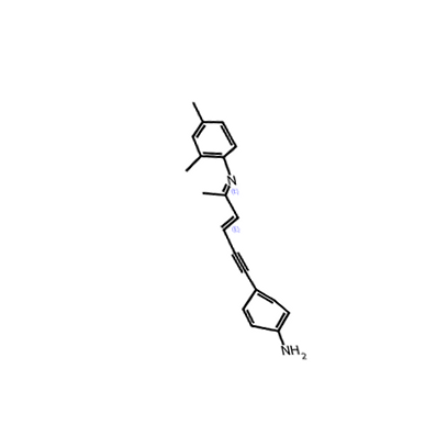 CC(/C=C/C#Cc1ccc(N)cc1)=N\c1ccc(C)cc1C